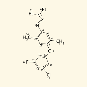 CCN(/C=N/c1cc(C)c(Oc2cc(F)cc(Cl)c2)cc1C)CC